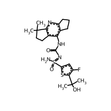 CC(C)(O)c1sc(S(N)(=O)=NC(=O)Nc2c3c(nc4c2CCC4(C)C)CCC3)cc1F